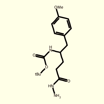 COc1ccc(CC(CCC(=O)NN)NC(=O)OC(C)(C)C)cc1